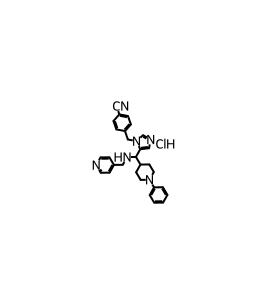 Cl.N#Cc1ccc(Cn2cncc2C(NCc2ccncc2)C2CCN(c3ccccc3)CC2)cc1